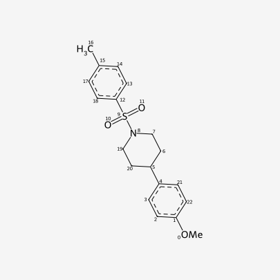 COc1ccc(C2CCN(S(=O)(=O)c3ccc(C)cc3)CC2)cc1